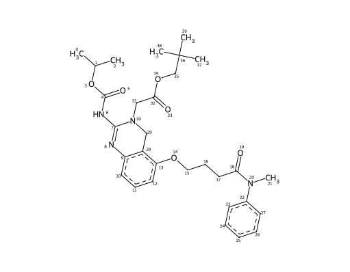 CC(C)OC(=O)NC1=Nc2cccc(OCCCC(=O)N(C)c3ccccc3)c2CN1CC(=O)OCC(C)(C)C